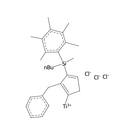 CCCC[Si](C)(C1=CC[C]([Ti+3])=C1Cc1ccccc1)c1c(C)c(C)c(C)c(C)c1C.[Cl-].[Cl-].[Cl-]